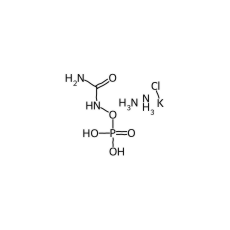 N.N.NC(=O)NOP(=O)(O)O.[Cl][K]